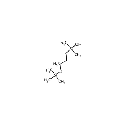 C[Si](C)(O)CC[SiH2]O[Si](C)(C)C